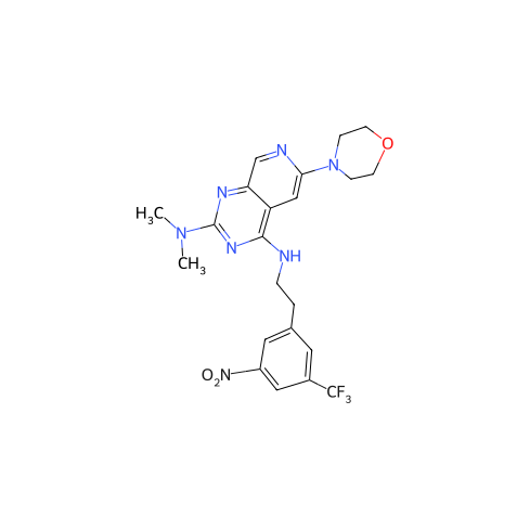 CN(C)c1nc(NCCc2cc([N+](=O)[O-])cc(C(F)(F)F)c2)c2cc(N3CCOCC3)ncc2n1